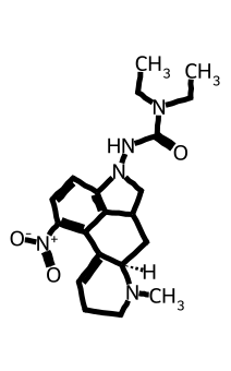 CCN(CC)C(=O)NN1CC2C[C@@H]3C(=CCCN3C)c3c([N+](=O)[O-])ccc1c32